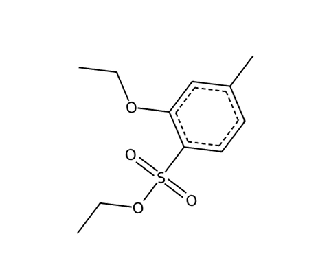 CCOc1cc(C)ccc1S(=O)(=O)OCC